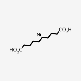 O=C(O)CCCCCCCCC(=O)O.[Ni]